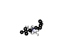 C/C(=C\c1ccc(-c2c3c(c(-c4ccccc4)c4ccccc24)=CCCC=3)cc1C)c1ccc2c(c1)sc1ccc3cc4sc5ccccc5c4cc3c12